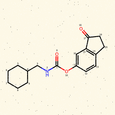 O=C(NCC1CCCCC1)Oc1ccc2c(c1)C(=O)CC2